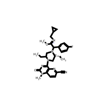 CCC1CN(C(/C(=N/CC2CC2)OC)c2ccc(F)cc2)[C@H](CC)CN1c1nc(=O)n(C)c2ccc(C#N)nc12